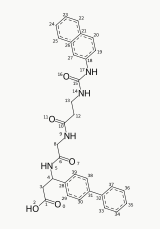 O=C(O)CC(NC(=O)CNC(=O)CCNC(=O)Nc1ccc2ccccc2c1)c1ccc(-c2ccccc2)cc1